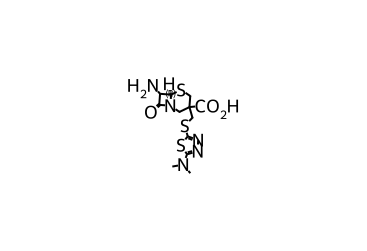 CN(C)c1nnc(SCC2(C(=O)O)CS[C@@H]3C(N)C(=O)N3C2)s1